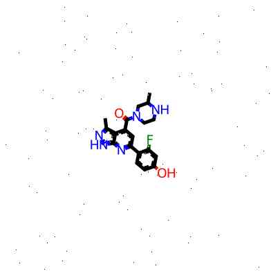 Cc1n[nH]c2nc(-c3ccc(O)cc3F)cc(C(=O)N3CCNC(C)C3)c12